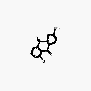 Nc1ccc2c(c1)C(=O)c1cccc(Cl)c1C2=O